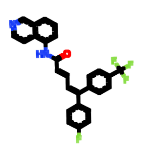 O=C(/C=C/C=C(/c1ccc(F)cc1)c1ccc(C(F)(F)F)cc1)Nc1cccc2cnccc12